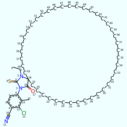 CCN1C(=S)N(c2ccc(C#N)c(Cl)c2C)C(=O)C12CCCCCCCCCCCCCCCCCCCCCCCCCCCCCCCCCCCCCCCCC2